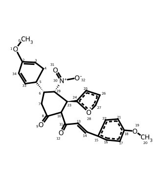 COC1=CCC([C@H]2CC(=O)C(C(=O)/C=C/c3ccc(OC)cc3)[C@H](c3ccco3)[C@H]2[N+](=O)[O-])C=C1